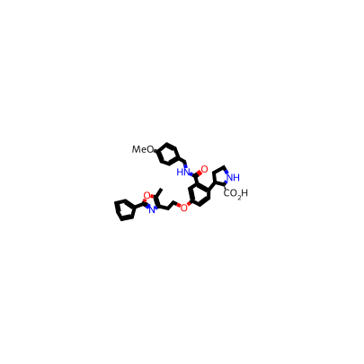 COc1ccc(CNC(=O)c2cc(OCCc3nc(-c4ccccc4)oc3C)ccc2C2CCN[C@@H]2C(=O)O)cc1